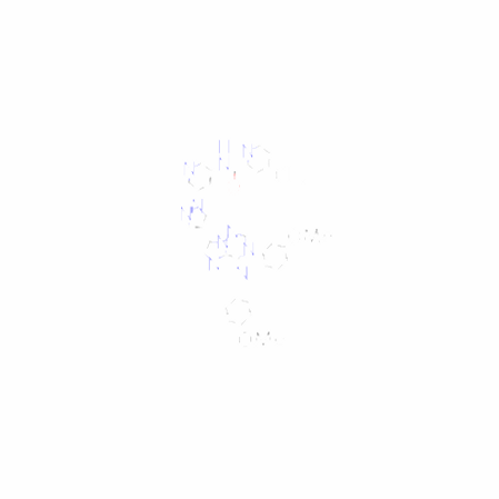 COc1ccc(CN(Cc2ccc(OC)cc2)c2ncnn3c(-c4cnn(-c5cc(NC(=O)c6cc(C(F)(F)F)ccn6)cnc5C)c4)cnc23)cc1